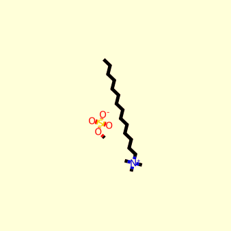 CCCCCCCCCCCCCC[N+](C)(C)C.COS(=O)(=O)[O-]